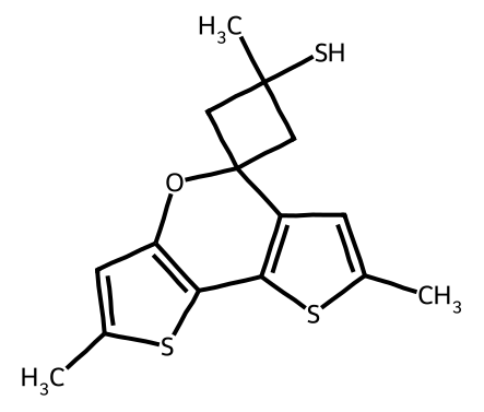 Cc1cc2c(s1)-c1sc(C)cc1C1(CC(C)(S)C1)O2